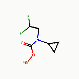 O=C(OS)N(CC(F)F)C1CC1